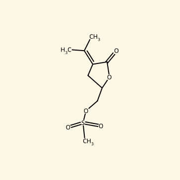 CC(C)=C1CC(COS(C)(=O)=O)OC1=O